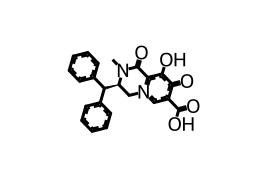 CN1C(=O)c2c(O)c(=O)c(C(=O)O)cn2C[C@H]1C(c1ccccc1)c1ccccc1